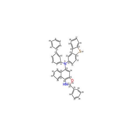 c1ccc(-c2cccc(N(c3ccc4sc5ccccc5c4c3)c3cc4c(c5ccccc35)NC(c3ccccc3)O4)c2)cc1